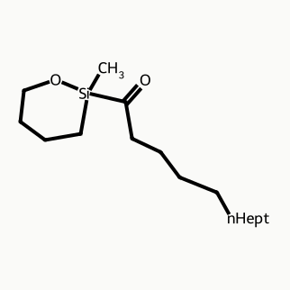 CCCCCCCCCCCC(=O)[Si]1(C)CCCCO1